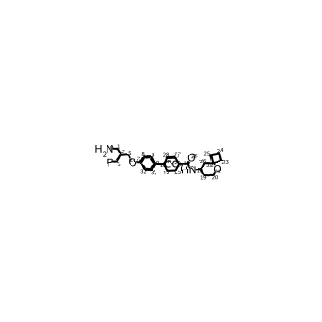 NCC(=CF)COc1ccc(C23CCC(C(=O)NC4CCOC5(CCC5)C4)(CC2)CC3)cc1